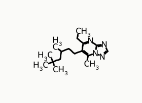 CCc1nc2ncnn2c(C)c1CCC(C)CC(C)(C)C